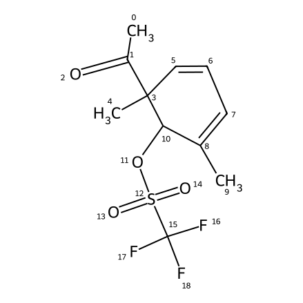 CC(=O)C1(C)C=CC=C(C)C1OS(=O)(=O)C(F)(F)F